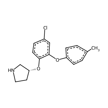 Cc1ccc(Oc2cc(Cl)ccc2O[C@@H]2CCNC2)cc1